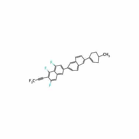 CC1CC=C(c2ccc3cc(-c4cc(F)c5c(F)c(C#CC(F)(F)F)c(F)cc5c4)ccc3c2)CC1